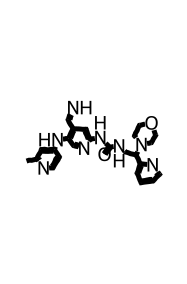 Cc1cc(Nc2cnc(NC(=O)NCC(c3ccccn3)N3CCOCC3)cc2C=N)ccn1